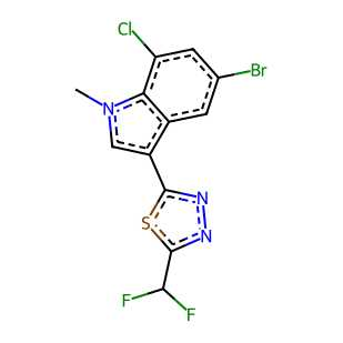 Cn1cc(-c2nnc(C(F)F)s2)c2cc(Br)cc(Cl)c21